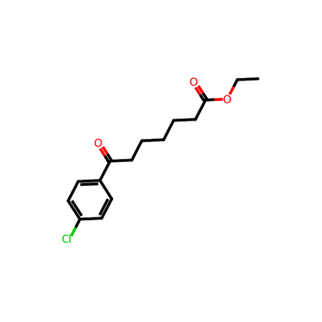 CCOC(=O)CCCCCC(=O)c1ccc(Cl)cc1